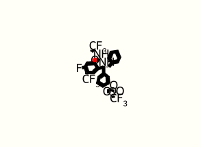 O=C(NCC(F)(F)F)N[C@@](Cc1ccccc1)(c1cccc(OS(=O)(=O)C(F)(F)F)c1)c1ccc(F)c(C(F)(F)F)c1